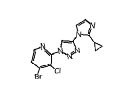 Clc1c(Br)ccnc1-n1cc(-n2ccnc2C2CC2)nn1